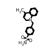 CC1=CCN(Cc2ccc(S(N)(=O)=O)cc2)c2ccccc21